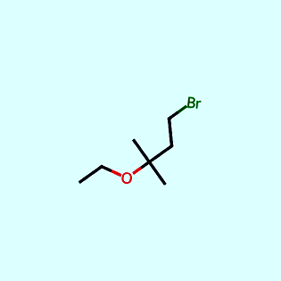 CCOC(C)(C)CCBr